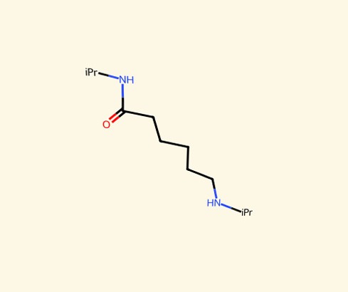 CC(C)NCCCCCC(=O)NC(C)C